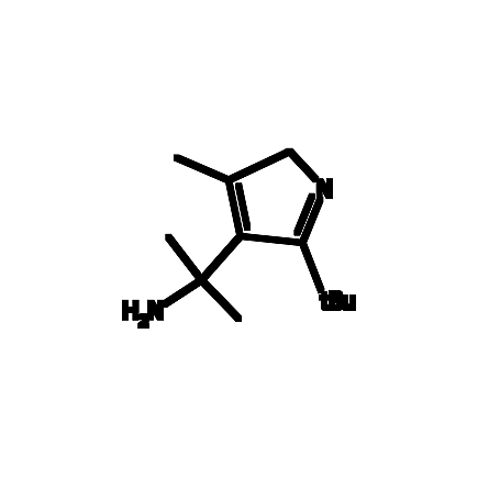 CC1=C(C(C)(C)N)C(C(C)(C)C)=NC1